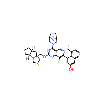 CCc1cccc2cc(O)cc(-c3ncc4c(N5CC6CCC(C5)N6)nc(OC[C@@]56C[C@@H](F)CN5[C@@H]5CCC[C@@H]5C6)nc4c3F)c12